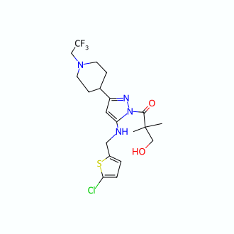 CC(C)(CO)C(=O)n1nc(C2CCN(CC(F)(F)F)CC2)cc1NCc1ccc(Cl)s1